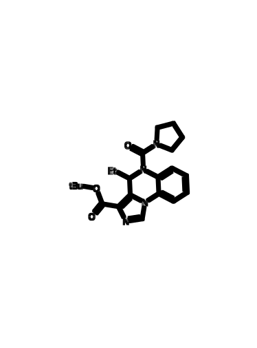 CCC1c2c(C(=O)OC(C)(C)C)ncn2-c2ccccc2N1C(=O)N1CCCC1